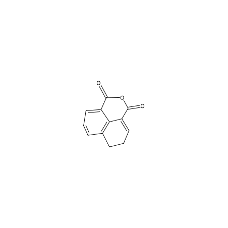 O=C1OC(=O)c2cccc3c2C1=CCC3